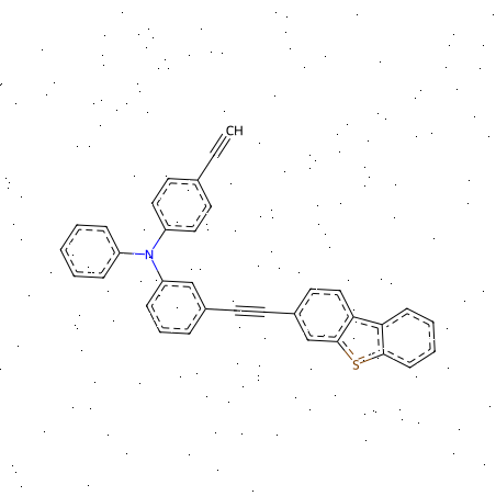 C#Cc1ccc(N(c2ccccc2)c2cccc(C#Cc3ccc4c(c3)sc3ccccc34)c2)cc1